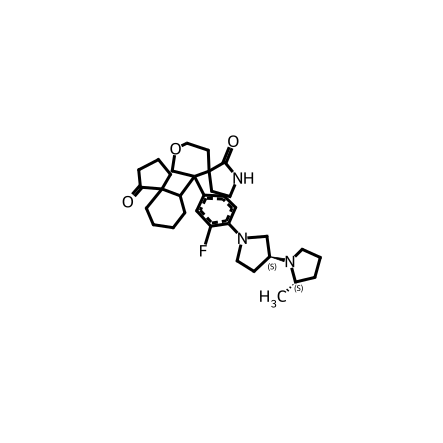 C[C@H]1CCCN1[C@H]1CCN(c2ccc(C3(C4CCCCC45CCCC5=O)COCCC34CCNC4=O)cc2F)C1